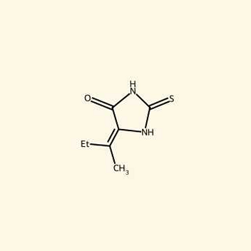 CCC(C)=C1NC(=S)NC1=O